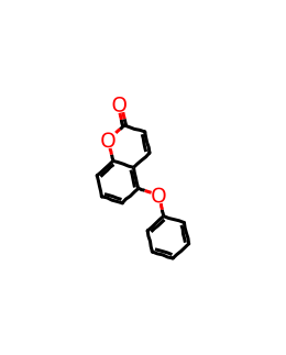 O=c1ccc2c(Oc3ccccc3)cccc2o1